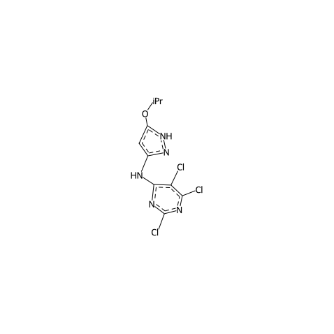 CC(C)Oc1cc(Nc2nc(Cl)nc(Cl)c2Cl)n[nH]1